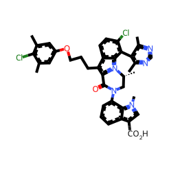 Cc1cc(OCCCc2c3n(c4c(-c5c(C)ncnc5C)c(Cl)ccc24)[C@H](C)CN(c2cccc4c(C(=O)O)cn(C)c24)C3=O)cc(C)c1Cl